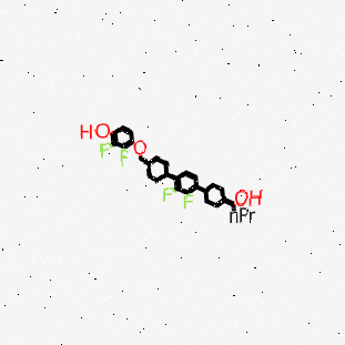 CCCC(O)C1CCC(c2ccc(C3CCC(COc4ccc(O)c(F)c4F)CC3)c(F)c2F)CC1